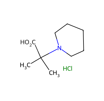 CC(C)(C(=O)O)N1CCCCC1.Cl